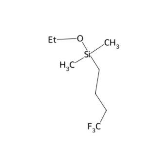 CCO[Si](C)(C)CCCC(F)(F)F